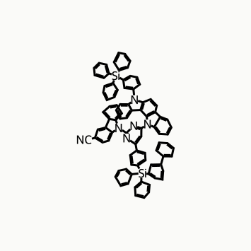 N#Cc1ccc2c(c1)c1ccccc1n2-c1nc(-c2ccc([Si](c3ccccc3)(c3ccccc3)c3cccc(-c4ccccc4)c3)cc2)cc(-n2c3ccccc3c3ccc4c(c5ccccc5n4-c4cccc([Si](c5ccccc5)(c5ccccc5)c5ccccc5)c4)c32)n1